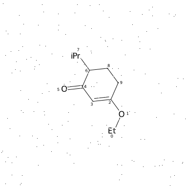 CCOC1=CC(=O)C(C(C)C)CC1